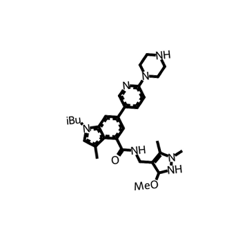 CCC(C)n1cc(C)c2c(C(=O)NCC3=C(C)N(C)NC3OC)cc(-c3ccc(N4CCNCC4)nc3)cc21